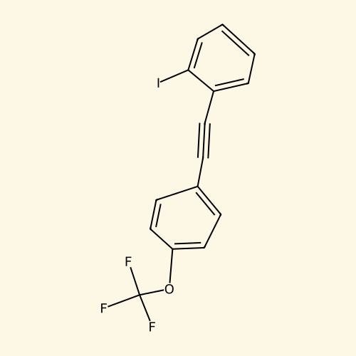 FC(F)(F)Oc1ccc(C#Cc2ccccc2I)cc1